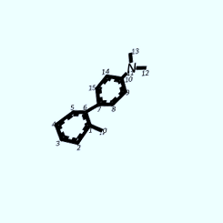 [CH]c1ccccc1-c1ccc(N(C)C)cc1